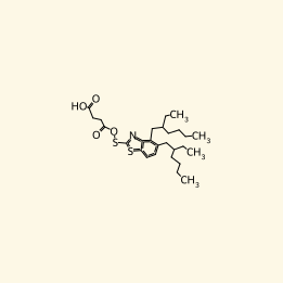 CCCCC(CC)Cc1ccc2sc(SOC(=O)CCC(=O)O)nc2c1CC(CC)CCCC